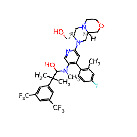 Cc1cc(F)ccc1-c1cc(N2C[C@H]3COCCN3C[C@H]2CO)ncc1N(C)C(O)C(C)(C)c1cc(C(F)(F)F)cc(C(F)(F)F)c1